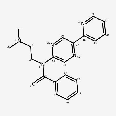 CN(C)CCN(C(=O)c1ccccc1)c1cnc(-c2ccccn2)cn1